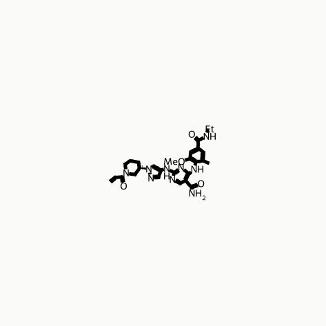 C=CC(=O)N1CCC[C@@H](n2cc(Nc3ncc(C(N)=O)c(Nc4c(C)cc(C(=O)NCC)cc4OC)n3)cn2)C1